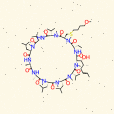 C/C=C/C[C@@H](C)[C@@H](O)[C@H]1C(=O)N[C@@H](CC)C(=O)N(C)[C@H](CSCCCCOC)C(=O)N(C)[C@@H](C(C)C)C(=O)N[C@H](C(C)C)C(=O)N(C)[C@H](CC(C)C)C(=O)N[C@H](C)C(=O)N[C@@H](C)C(=O)N(C)[C@@H](CC(C)C)C(=O)N(C)[C@@H](CC(C)C)C(=O)N(C)[C@@H](C(C)C)C(=O)N1C